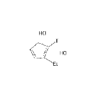 CCC1=[C]([Ti])CC=C1.Cl.Cl